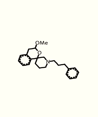 COC1Cc2ccccc2C2(CCCN(CCCc3ccccc3)C2)O1